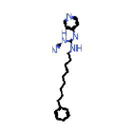 N#CNC(=Nc1ccncc1)NCCCCCCCCCc1ccccc1